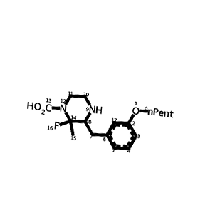 CCCCCOc1cccc(CC2NCCN(C(=O)O)C2(C)F)c1